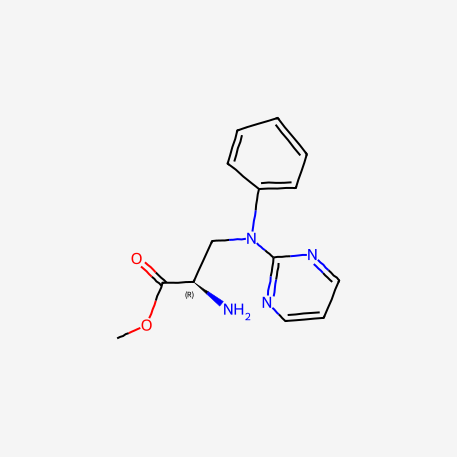 COC(=O)[C@H](N)CN(c1ccccc1)c1ncccn1